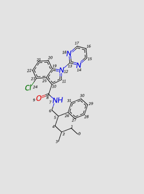 CCC(C)CC(CNC(=O)c1cn(-c2ncccn2)c2cccc(Cl)c12)c1ccccc1